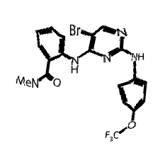 CNC(=O)c1ccccc1Nc1nc(Nc2ccc(OC(F)(F)F)cc2)ncc1Br